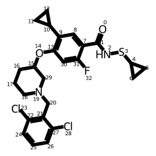 O=C(NSC1CC1)c1cc(C2CC2)c(OC2CCCN(Cc3c(Cl)cccc3Cl)C2)cc1F